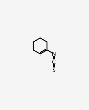 S=C=NC1=[C]CCCC1